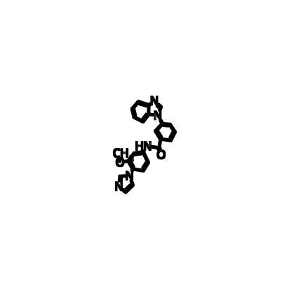 COc1cc(NC(=O)c2cccc(-n3cnc4ccccc43)c2)ccc1-n1ccnc1